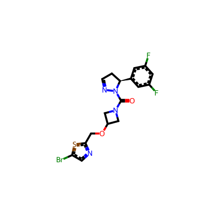 O=C(N1CC(OCc2ncc(Br)s2)C1)N1N=CC[C@H]1c1cc(F)cc(F)c1